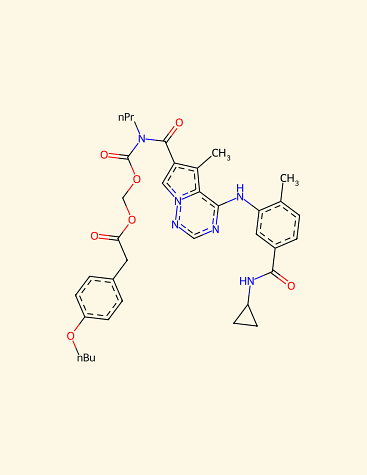 CCCCOc1ccc(CC(=O)OCOC(=O)N(CCC)C(=O)c2cn3ncnc(Nc4cc(C(=O)NC5CC5)ccc4C)c3c2C)cc1